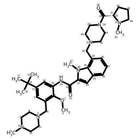 COc1c(CN2CCN(C)CC2)cc(C(C)(C)C)cc1NC(=O)c1cc2cccc(CN3CCN(C(=O)[C@@H]4CCCN4C)CC3)c2n1C